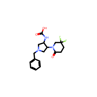 O=C(O)NC1CN(Cc2ccccc2)CC1N1CC(F)(F)CCC1=O